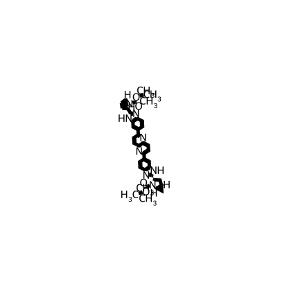 CC(C)(C)OC(=O)N1C(c2nc3ccc(-c4ccc5nc(-c6ccc7nc([C@@H]8C[C@H]9C[C@H]9N8C(=O)OC(C)(C)C)[nH]c7c6)ccc5n4)cc3[nH]2)C2C3[C@H]2[C@@H]31